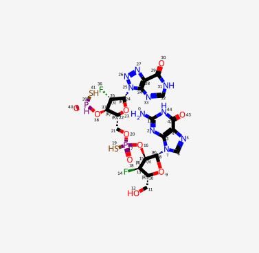 Nc1nc2c(ncn2[C@@H]2O[C@H](CO)[C@@H](F)[C@H]2OP(=O)(S)OC[C@H]2O[C@@H](n3nnc4c(=O)[nH]cnc43)[C@@H](F)[C@@H]2O[PH](=O)S)c(=O)[nH]1